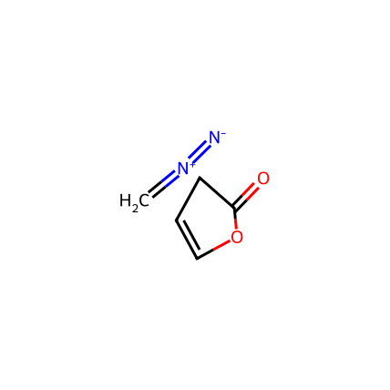 C=[N+]=[N-].O=C1CC=CO1